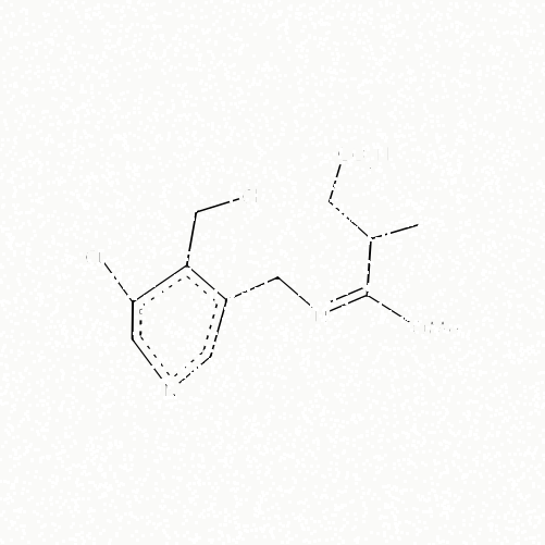 COC(=NCc1cncc(Cl)c1CCl)C(C)CC(=O)O